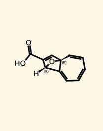 O=C(O)C1=C[C@]23C=CC=CC=C2[C@H]1O3